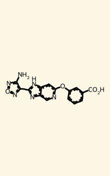 Nc1nonc1-c1nc2cnc(Oc3cccc(C(=O)O)c3)cc2[nH]1